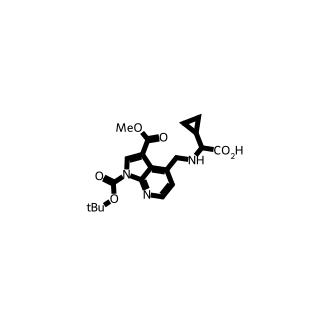 COC(=O)c1cn(C(=O)OC(C)(C)C)c2nccc(CNC(C(=O)O)C3CC3)c12